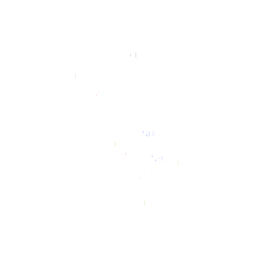 O=C(NC(=O)c1c(F)cccc1F)Nc1ccc(Oc2cc(C(F)(F)F)ccc2Cl)cc1F